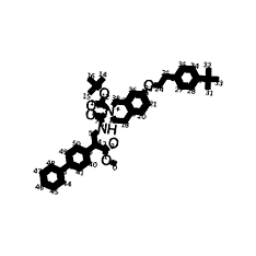 COC(=O)C(CNC(=O)[N+]1(C(=O)OC(C)(C)C)CCc2ccc(OCCc3ccc(C(C)(C)C)cc3)cc2C1)c1ccc(-c2ccccc2)cc1